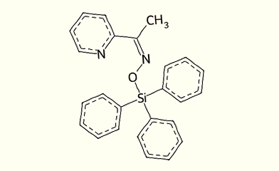 CC(=NO[Si](c1ccccc1)(c1ccccc1)c1ccccc1)c1ccccn1